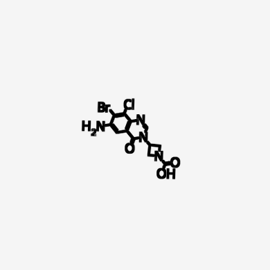 Nc1cc2c(=O)n(C3CN(C(=O)O)C3)cnc2c(Cl)c1Br